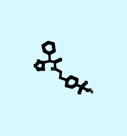 NS(=O)(=O)c1ccc(CCNC(=O)C(c2ccccc2)c2ncon2)cc1